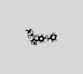 CC(C)(C)OC(=O)Nc1conc1-c1ccc(OCc2cccnc2)cc1